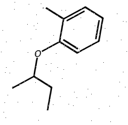 [CH2]c1ccccc1OC(C)CC